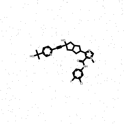 Cn1cnc(C2CC3CC(O)(C#Cc4ccc(C(C)(C)O)cn4)CC3C2)c1C(=O)Nc1ccc(F)c(Cl)c1